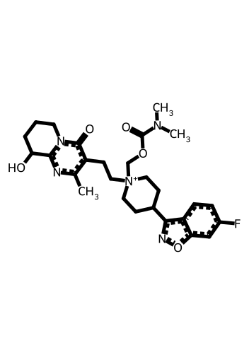 Cc1nc2n(c(=O)c1CC[N+]1(COC(=O)N(C)C)CCC(c3noc4cc(F)ccc34)CC1)CCCC2O